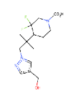 CC(C)(Cn1cc(CO)cn1)C1CCN(C(=O)O)CC1(F)F